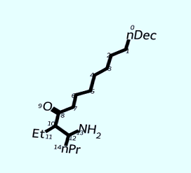 CCCCCCCCCCCCCCCCCC(=O)C(CC)C(N)CCC